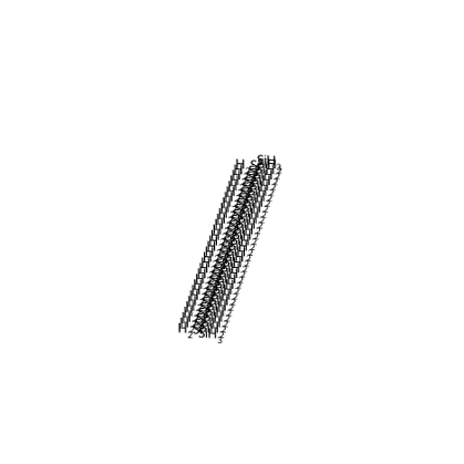 [SiH3][SiH2][SiH2][SiH2][SiH2][SiH2][SiH2][SiH2][SiH2][SiH2][SiH2][SiH2][SiH2][SiH2][SiH2][SiH2][SiH2][SiH2][SiH2][SiH2][SiH2][SiH2][SiH2][SiH2][SiH2][SiH2][SiH2][SiH2][SiH2][SiH2][SiH2][SiH2][SiH2][SiH2][SiH2][SiH2][SiH2][SiH2][SiH2][SiH2][SiH2][SiH2][SiH2][SiH2][SiH2][SiH2][SiH2][SiH2][SiH2][SiH2][SiH2][SiH2][SiH2][SiH2][SiH2][SiH2][SiH2][SiH2][SiH2][SiH2][SiH2][SiH2][SiH2][SiH3]